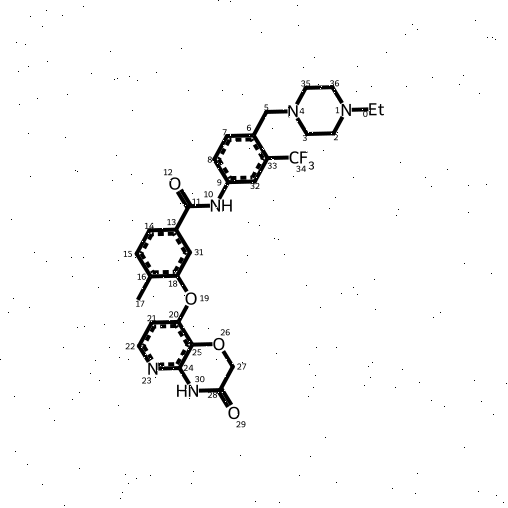 CCN1CCN(Cc2ccc(NC(=O)c3ccc(C)c(Oc4ccnc5c4OCC(=O)N5)c3)cc2C(F)(F)F)CC1